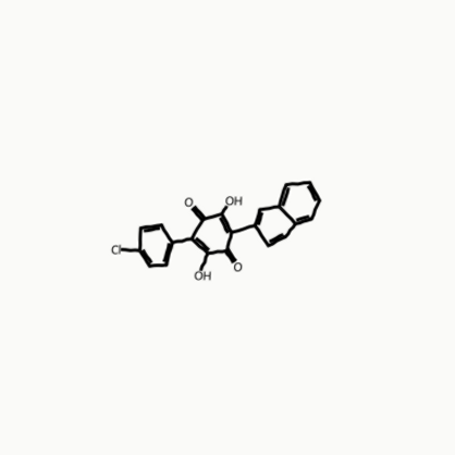 O=C1C(O)=C(c2ccc3ccccc3c2)C(=O)C(O)=C1c1ccc(Cl)cc1